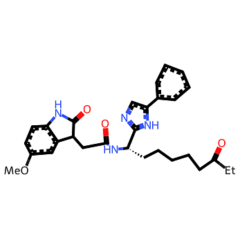 CCC(=O)CCCCC[C@H](NC(=O)CC1C(=O)Nc2ccc(OC)cc21)c1ncc(-c2ccccc2)[nH]1